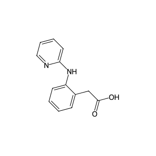 O=C(O)Cc1ccccc1Nc1ccccn1